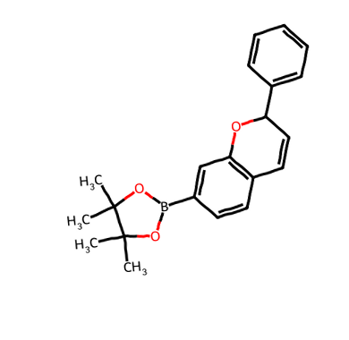 CC1(C)OB(c2ccc3c(c2)OC(c2ccccc2)C=C3)OC1(C)C